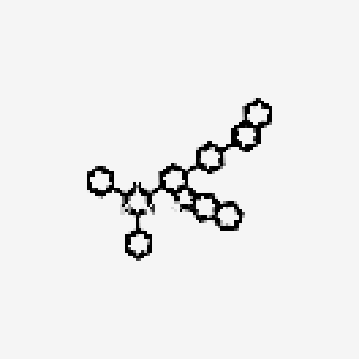 c1ccc(-c2nc(-c3ccccc3)nc(-c3ccc(-c4ccc(-c5ccc6ccccc6c5)cc4)c4c3oc3cc5ccccc5cc34)n2)cc1